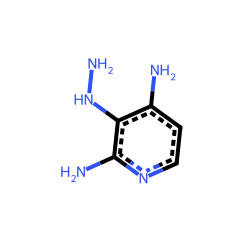 NNc1c(N)ccnc1N